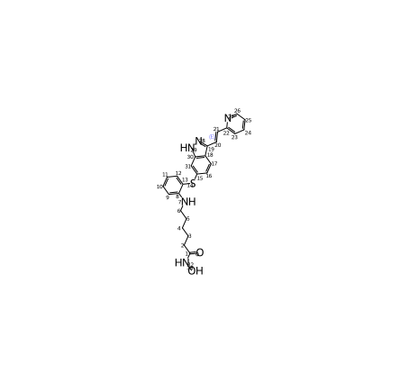 O=C(CCCCCNc1ccccc1Sc1ccc2c(/C=C/c3ccccn3)n[nH]c2c1)NO